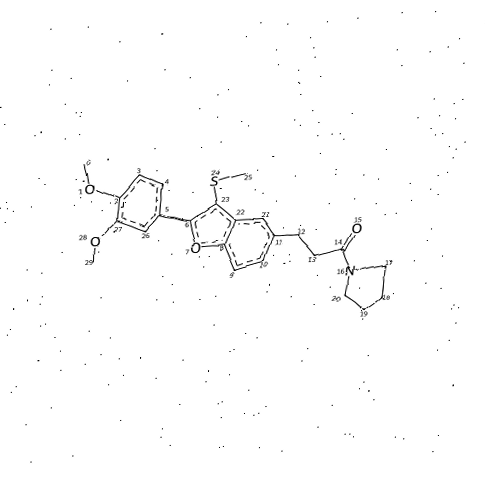 COc1ccc(-c2oc3ccc(CCC(=O)N4CCCC4)cc3c2SC)cc1OC